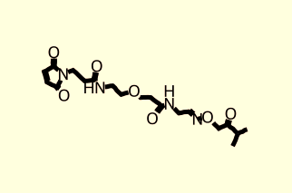 CC(C)C(=O)CON=CCNC(=O)CCOCCNC(=O)CCN1C(=O)C=CC1=O